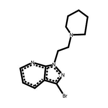 Brc1nn(CCN2CCCCC2)c2ncccc12